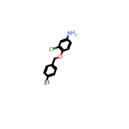 CCc1ccc(COc2ccc(N)cc2Cl)cc1